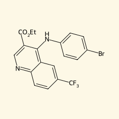 CCOC(=O)c1cnc2ccc(C(F)(F)F)cc2c1Nc1ccc(Br)cc1